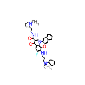 CN(CCCNc1c(F)cc2c(=O)c(C(=O)NCCC3CCCN3C)cn3c2c1Oc1cc2ccccc2cc1-3)c1ccccc1